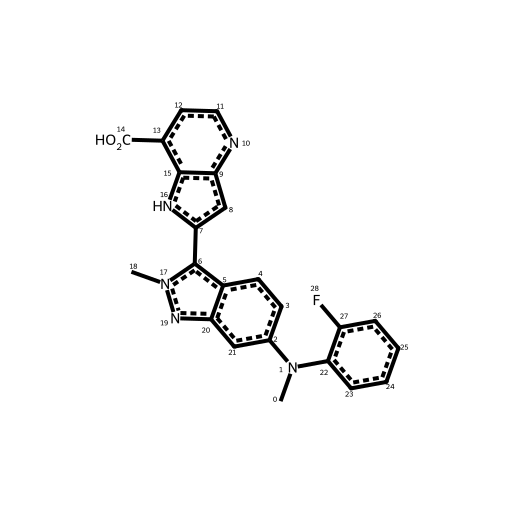 CN(c1ccc2c(-c3cc4nccc(C(=O)O)c4[nH]3)n(C)nc2c1)c1ccccc1F